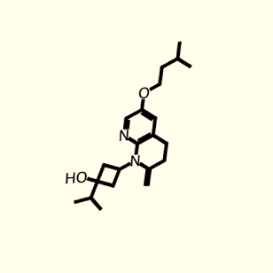 C=C1CCc2cc(OCCC(C)C)cnc2N1C1CC(O)(C(C)C)C1